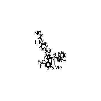 CSc1ccc(OC(F)F)c(-c2nn(CC(=O)N3CCC(NCCCC#N)CC3)cc2NC(=O)C2=C3N=CC=CN3NC2)c1